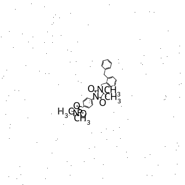 CN(C)S(=O)(=O)c1ccc(N2C(=O)N(Cc3ccccc3Cc3ccccc3)C(C)(C)C2=O)cc1